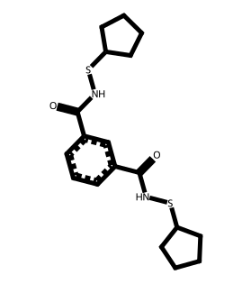 O=C(NSC1CCCC1)c1cccc(C(=O)NSC2CCCC2)c1